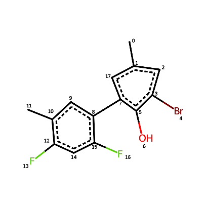 Cc1cc(Br)c(O)c(-c2cc(C)c(F)cc2F)c1